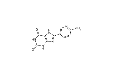 Nc1ccc(-c2nc3[nH]c(=O)[nH]c(=O)c3[nH]2)cn1